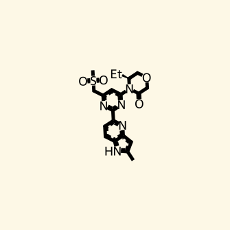 CC[C@H]1COCC(=O)N1c1cc(CS(C)(=O)=O)nc(-c2ccc3[nH]c(C)cc3n2)n1